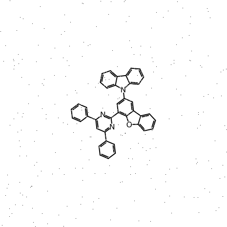 c1ccc(-c2cc(-c3ccccc3)nc(-c3cc(-n4c5ccccc5c5ccccc54)cc4c3oc3ccccc34)n2)cc1